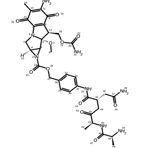 CO[C@]12C3[C@H](CN1C1=C(C(=O)C(N)=C(C)C1=O)[C@H]2COC(N)=O)N3C(=O)OCc1ccc(NC(=O)[C@H](CC(N)=O)CC(=O)[C@H](C)NC(=O)[C@H](C)N)cc1